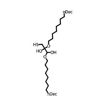 CCCCCCCCCCCCCCCCCCOC(O)C(O)(CS)OCCCCCCCCCCCCCCCCCC